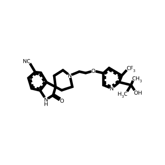 CC(C)(O)c1ncc(OCCN2CCC3(CC2)C(=O)Nc2ccc(C#N)cc23)cc1C(F)(F)F